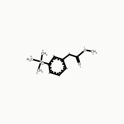 COC(=O)Cc1ccc[c]([Sn]([CH3])([CH3])[CH3])c1